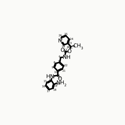 C[C@@H](OC(=O)NCc1ccc(C(=O)Nc2ccccc2N)cc1)c1cccnc1